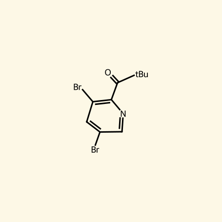 CC(C)(C)C(=O)c1ncc(Br)cc1Br